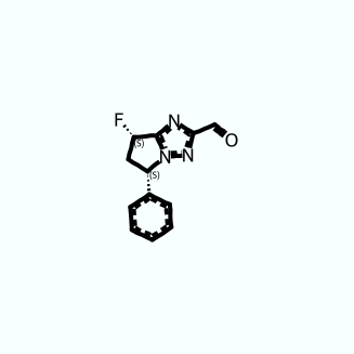 O=Cc1nc2n(n1)[C@H](c1ccccc1)C[C@@H]2F